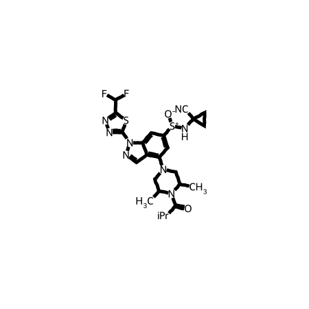 CC(C)C(=O)N1C(C)CN(c2cc([S+]([O-])NC3(C#N)CC3)cc3c2cnn3-c2nnc(C(F)F)s2)CC1C